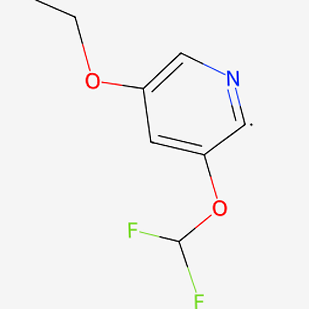 CCOc1cn[c]c(OC(F)F)c1